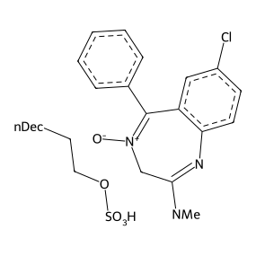 CCCCCCCCCCCCOS(=O)(=O)O.CNC1=Nc2ccc(Cl)cc2C(c2ccccc2)=[N+]([O-])C1